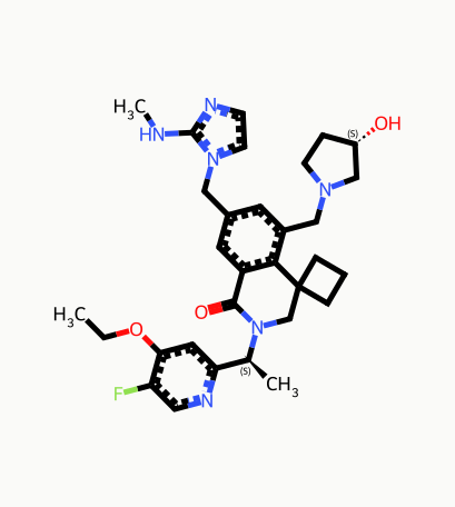 CCOc1cc([C@H](C)N2CC3(CCC3)c3c(CN4CC[C@H](O)C4)cc(Cn4ccnc4NC)cc3C2=O)ncc1F